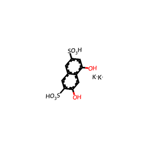 O=S(=O)(O)c1cc(O)c2cc(O)c(S(=O)(=O)O)cc2c1.[K].[K]